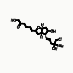 CCCCC(O)(CCl)C/C=C/[C@@H]1[C@H]2CC(CCCCC(=O)CO)O[C@H]2C[C@H]1O